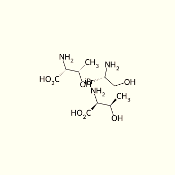 CC(C)[C@H](N)CO.C[C@@H](O)[C@H](N)C(=O)O.C[C@H](O)[C@@H](N)C(=O)O